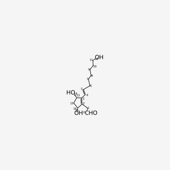 O=CCC1=C(C=CCCCCCCO)[C@H](O)C[C@@H]1O